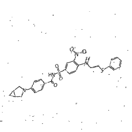 O=C(NS(=O)(=O)c1ccc(NCCSc2ccccc2)c([N+](=O)[O-])c1)c1ccc(N2CC3CC3C2)cc1